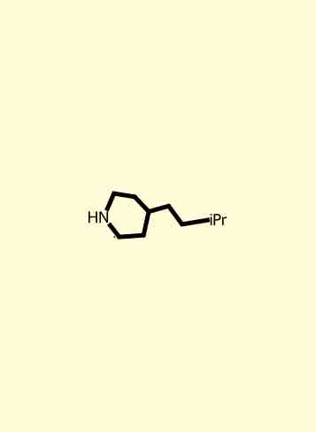 CC(C)CCC1C[CH]NCC1